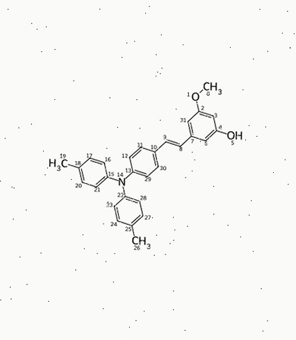 COc1cc(O)cc(/C=C/c2ccc(N(c3ccc(C)cc3)c3ccc(C)cc3)cc2)c1